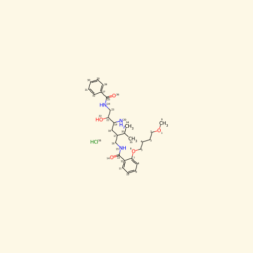 COCCCCOc1ccccc1C(=O)NCC(CC(N)C(O)CNC(=O)c1ccccc1)C(C)C.Cl